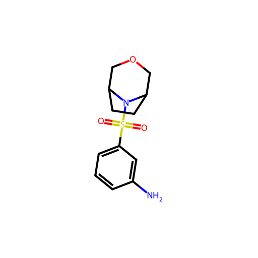 Nc1cccc(S(=O)(=O)N2C3CCC2COC3)c1